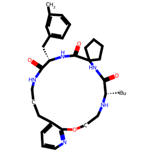 CCC(C)[C@@H]1NCCOc2ncccc2CCCNC(=O)[C@H](Cc2cccc(C)c2)NC(=O)C2(CCCC2)NC1=O